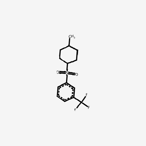 CC1CCC(S(=O)(=O)c2cccc(C(F)(F)F)c2)CC1